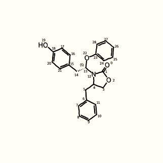 O=C1OCC(Cc2ccccc2)N1[C@H](Cc1ccc(O)cc1)Oc1ccccc1